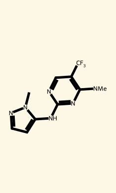 CNc1nc(Nc2ccnn2C)ncc1C(F)(F)F